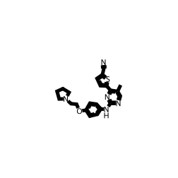 Cc1cnc(Nc2ccc(OCCN3CCCC3)cc2)nc1-c1ccc(C#N)s1